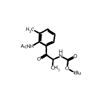 CC(=O)Nc1c(C)cccc1C(=O)C(C)NC(=O)OC(C)(C)C